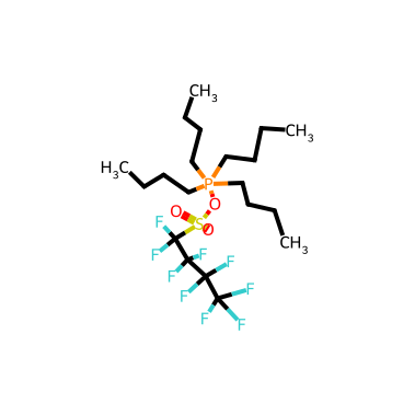 CCCCP(CCCC)(CCCC)(CCCC)OS(=O)(=O)C(F)(F)C(F)(F)C(F)(F)C(F)(F)F